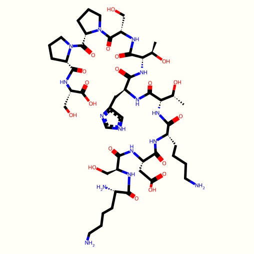 C[C@@H](O)[C@H](NC(=O)[C@H](CCCCN)NC(=O)[C@H](CC(=O)O)NC(=O)[C@H](CO)NC(=O)[C@@H](N)CCCCN)C(=O)N[C@@H](Cc1c[nH]cn1)C(=O)N[C@H](C(=O)N[C@@H](CO)C(=O)N1CCC[C@H]1C(=O)N1CCC[C@H]1C(=O)N[C@@H](CO)C(=O)O)[C@@H](C)O